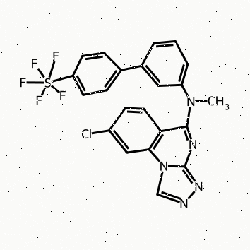 CN(c1cccc(-c2ccc(S(F)(F)(F)(F)F)cc2)c1)c1nc2nncn2c2cc(Cl)ccc12